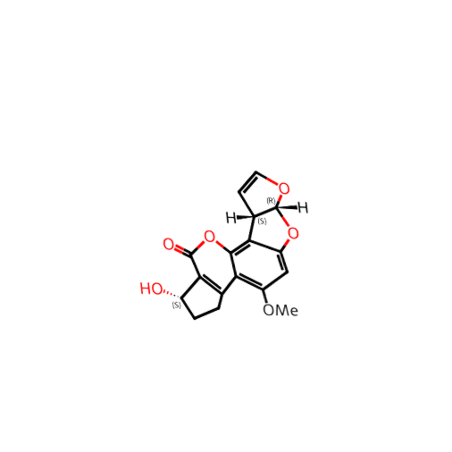 COc1cc2c(c3oc(=O)c4c(c13)CC[C@@H]4O)[C@@H]1C=CO[C@@H]1O2